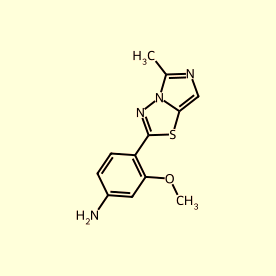 COc1cc(N)ccc1-c1nn2c(C)ncc2s1